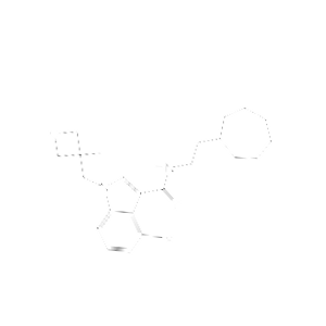 O=C(NCCC1CCCCCC1)c1cn(CC2(F)COC2)c2cccc(Br)c12